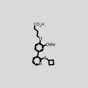 COc1cc(-c2cccnc2SC2CCC2)ccc1OCCCC(=O)O